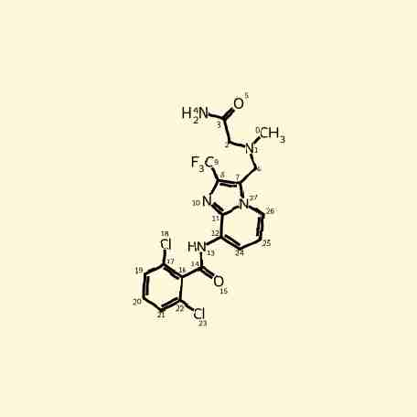 CN(CC(N)=O)Cc1c(C(F)(F)F)nc2c(NC(=O)c3c(Cl)cccc3Cl)cccn12